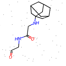 O=[C]CNC(=O)CNC12CC3CC(CC(C3)C1)C2